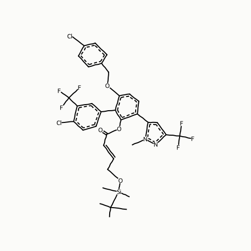 Cn1nc(C(F)(F)F)cc1-c1ccc(OCc2ccc(Cl)cc2)c(-c2ccc(Cl)c(C(F)(F)F)c2)c1OC(=O)/C=C/CO[Si](C)(C)C(C)(C)C